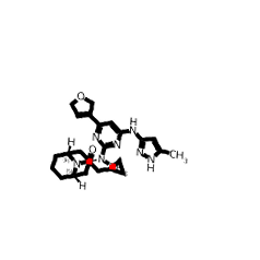 Cc1cc(Nc2cc(C3=CCOC3)nc(N(C)[C@H]3C[C@H]4CCC[C@@H](C3)N4C(=O)CC3CC3)n2)n[nH]1